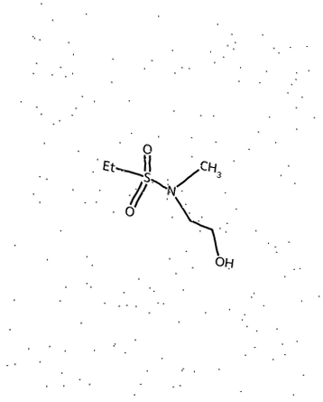 CCS(=O)(=O)N(C)CCO